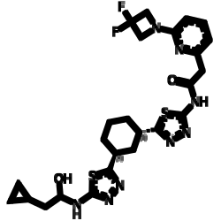 O=C(Cc1cccc(N2CC(F)(F)C2)n1)Nc1nnc([C@H]2CCC[C@H](c3nnc(NC(O)CC4CC4)s3)C2)s1